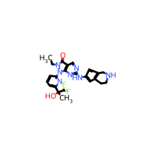 CCn1c(=O)c2cnc(Nc3ccc4c(c3)CCNC4)nc2n1-c1cccc(C(C)(O)C(F)F)n1